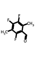 Cc1c(F)c(F)c(C)c(C=O)c1F